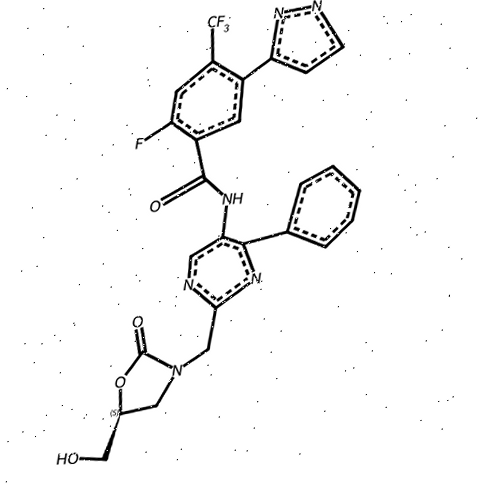 Cn1ccc(-c2cc(C(=O)Nc3cnc(CN4C[C@@H](CO)OC4=O)nc3-c3ccccc3)c(F)cc2C(F)(F)F)n1